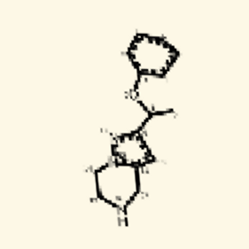 CC(Oc1ccccc1)c1cc2n(n1)CCNC2